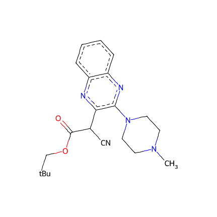 CN1CCN(c2nc3ccccc3nc2C(C#N)C(=O)OCC(C)(C)C)CC1